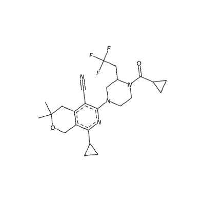 CC1(C)Cc2c(C#N)c(N3CCN(C(=O)C4CC4)C(CC(F)(F)F)C3)nc(C3CC3)c2CO1